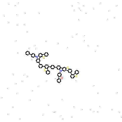 c1ccc(-c2ccc(-n3c4ccc(-c5cccc(-c6ccc(-c7ccc(-c8ccc9c%10cc%11sc%12ccc(-c%13cccc%14sc%15ccccc%15c%13%14)cc%12c%11cc%10n(-c%10ccc%11c(c%10)oc%10ccccc%10%11)c9c8)cc7)c7c6sc6ccccc67)c5)cc4c4c5sc6ccccc6c5ccc43)cc2)cc1